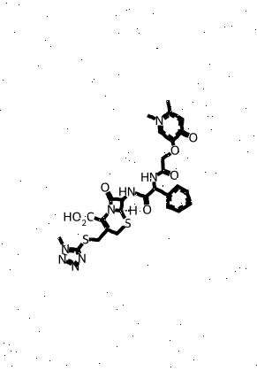 Cc1cc(=O)c(OCC(=O)NC(C(=O)NC2C(=O)N3C(C(=O)O)=C(CSc4nnnn4C)CS[C@H]23)c2ccccc2)cn1C